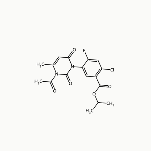 CC(=O)n1c(C)cc(=O)n(-c2cc(C(=O)OC(C)C)c(Cl)cc2F)c1=O